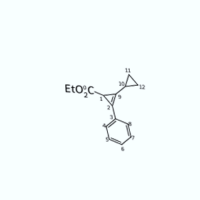 CCOC(=O)C1C(c2ccccc2)=C1C1CC1